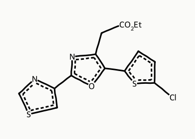 CCOC(=O)Cc1nc(-c2cscn2)oc1-c1ccc(Cl)s1